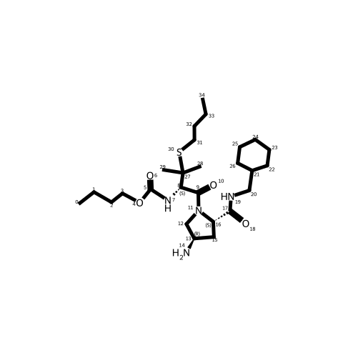 CCCCOC(=O)N[C@@H](C(=O)N1C[C@H](N)C[C@H]1C(=O)NCC1CCCCC1)C(C)(C)SCCCC